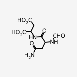 NC(=O)CC(NC=O)C(=O)NC(CC(=O)O)C(=O)O